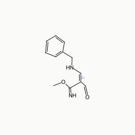 COC(=N)/C(C=O)=C\NCc1ccccc1